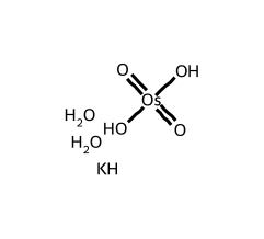 O.O.[KH].[O]=[Os](=[O])([OH])[OH]